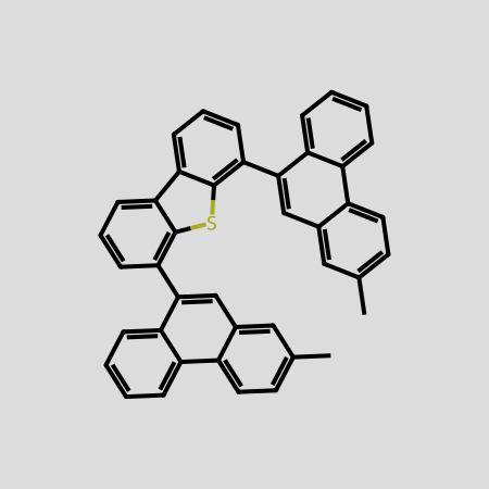 Cc1ccc2c(c1)cc(-c1cccc3c1sc1c(-c4cc5cc(C)ccc5c5ccccc45)cccc13)c1ccccc12